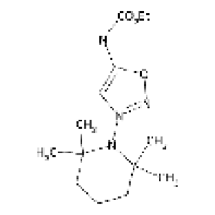 CCOC(=O)[N-]c1c[n+](N2C(C)(C)CCCC2(C)C)no1